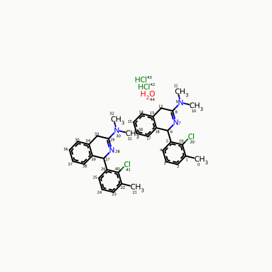 Cc1cccc(C2N=C(N(C)C)Cc3ccccc32)c1Cl.Cc1cccc(C2N=C(N(C)C)Cc3ccccc32)c1Cl.Cl.Cl.O